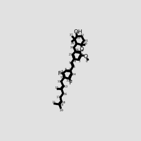 COc1cc(/C=C/c2cc(F)c(C/C=C(\C)CCC=C(C)C)c(F)c2)cc2c1OC1(C)CCC(O)C(C)(C)C1C2